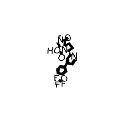 CN1CC[C@@]2(CC[C@@H](c3cc(-c4cccc(OC(F)(F)F)c4)ccn3)N2C(=O)O)C1=O